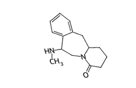 CNC1CN2C(=O)CCCC2Cc2ccccc21